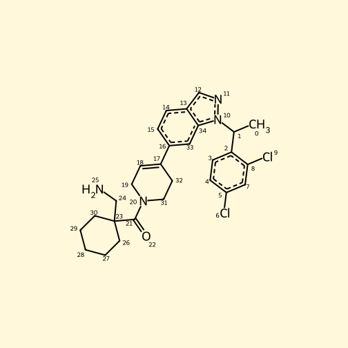 CC(c1ccc(Cl)cc1Cl)n1ncc2ccc(C3=CCN(C(=O)C4(CN)CCCCC4)CC3)cc21